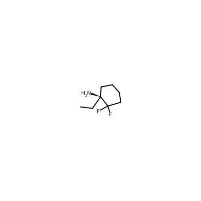 CC[C@]1(N)CCCCC1(F)F